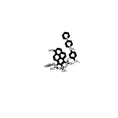 Cc1ccc(C)cc1.O=S(=O)(O)c1c(S(=O)(=O)O)c2ccc3ccc(O)c4ccc(c1S(=O)(=O)O)c2c34.[NaH].[NaH].[NaH].c1ccncc1.c1ccncc1